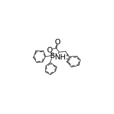 O=C1O[B-](c2ccccc2)(c2ccccc2)[NH2+]C1Cc1ccccc1